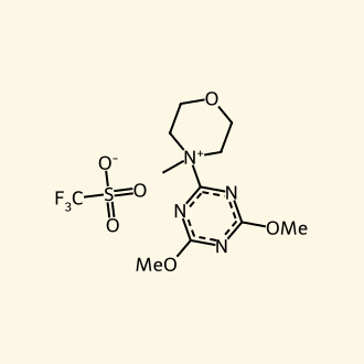 COc1nc(OC)nc([N+]2(C)CCOCC2)n1.O=S(=O)([O-])C(F)(F)F